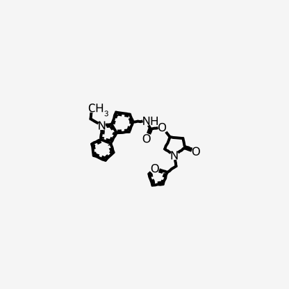 CCn1c2ccccc2c2cc(NC(=O)OC3CC(=O)N(Cc4ccco4)C3)ccc21